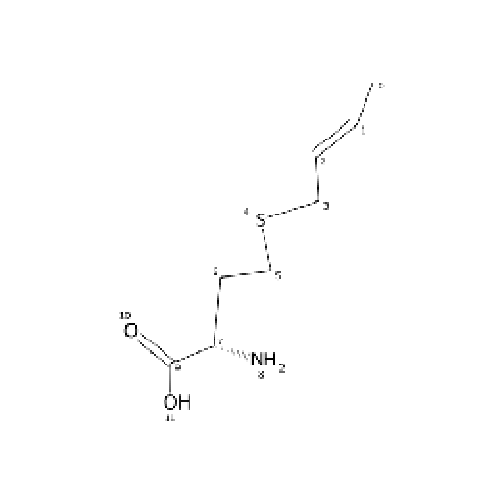 C/C=C/CSCC[C@H](N)C(=O)O